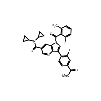 COC(=O)c1ccc(-c2nn(C(=O)c3c(Cl)cccc3C(F)(F)F)c3cc(C(=O)N(C4CC4)C4CC4)cnc23)c(F)c1